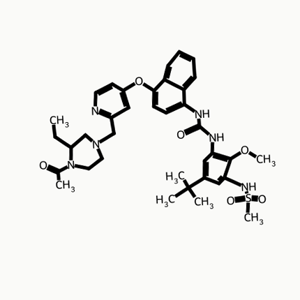 CCC1CN(Cc2cc(Oc3ccc(NC(=O)Nc4cc(C(C)(C)C)cc(NS(C)(=O)=O)c4OC)c4ccccc34)ccn2)CCN1C(C)=O